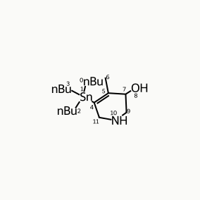 CCC[CH2][Sn]([CH2]CCC)([CH2]CCC)[C]1=C(C)C(O)CNC1